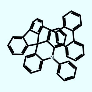 c1ccc(N2c3ccccc3C3(c4ccccc4-c4cccc(-c5cc6ccccc6c6ccccc56)c43)c3ccccc32)cc1